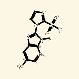 CCS(=O)(=O)c1nccn1-c1nc2cc(C(F)(F)F)cnc2n1C